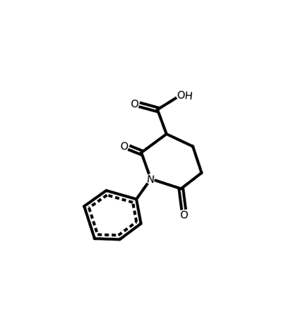 O=C(O)C1CCC(=O)N(c2ccccc2)C1=O